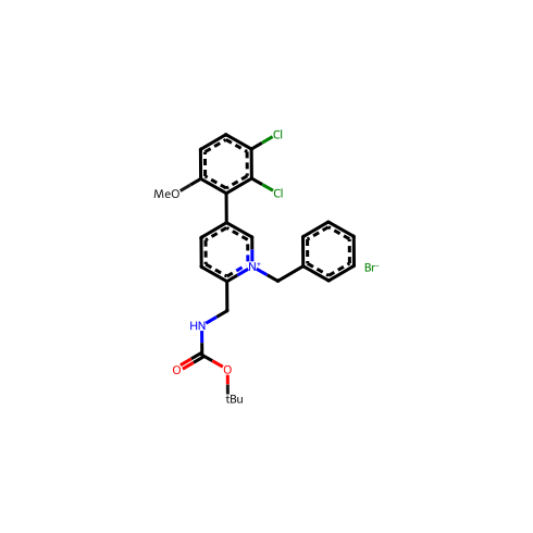 COc1ccc(Cl)c(Cl)c1-c1ccc(CNC(=O)OC(C)(C)C)[n+](Cc2ccccc2)c1.[Br-]